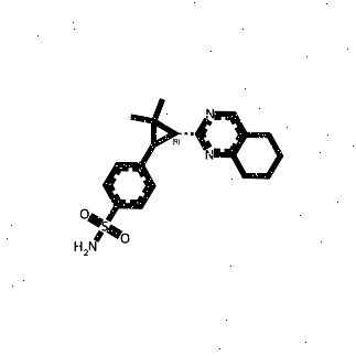 CC1(C)C(c2ccc(S(N)(=O)=O)cc2)[C@H]1c1ncc2c(n1)CCCC2